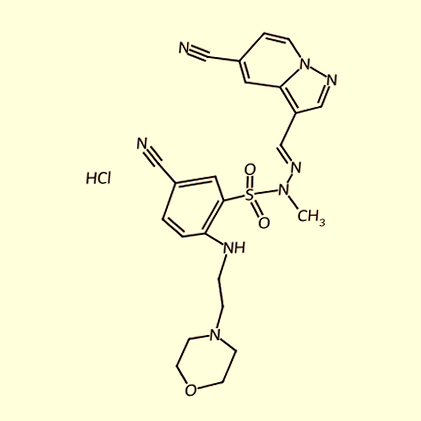 CN(N=Cc1cnn2ccc(C#N)cc12)S(=O)(=O)c1cc(C#N)ccc1NCCN1CCOCC1.Cl